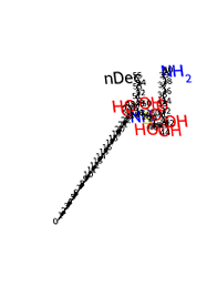 CC#CC#CC#CC#CC#CC#CC#CC#CC#CC#CC#CC(=O)N[C@@H](CSC1OC(COCCCCCCN)C(O)C(O)C1O)[C@H](O)[C@H](O)CCCCCCCCCCCCCC